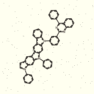 c1ccc(-c2nc(-c3cccc(-n4c5ccccc5c5cc6c7cc8ccn(-c9ccccc9)c8cc7n(-c7ccccc7)c6cc54)c3)nc3ccccc23)cc1